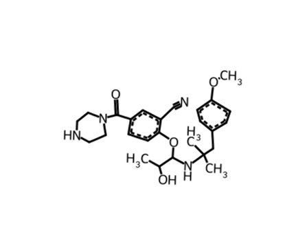 COc1ccc(CC(C)(C)NC(Oc2ccc(C(=O)N3CCNCC3)cc2C#N)C(C)O)cc1